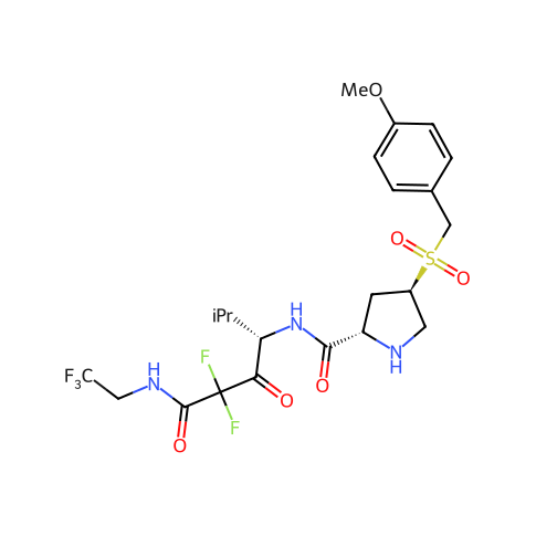 COc1ccc(CS(=O)(=O)[C@H]2CN[C@H](C(=O)N[C@H](C(=O)C(F)(F)C(=O)NCC(F)(F)F)C(C)C)C2)cc1